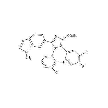 CCOC(=O)c1nc(-c2ccc3ccn(C)c3c2)n(-c2cccc(Cl)c2F)c1-c1ccc(F)c(Cl)c1